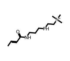 CC=CC(=O)NCCCPCC[N+](C)(C)C